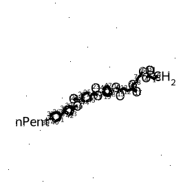 C=CC(=O)OC(C)CCOC(=O)CCC(=O)Oc1ccc(OC(=O)C2CCC(C(=O)Oc3ccc(C4CCC(CCCCC)CC4)cc3)CC2)cc1